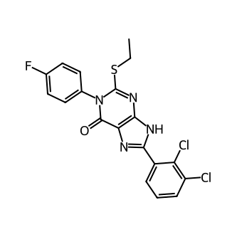 CCSc1nc2[nH]c(-c3cccc(Cl)c3Cl)nc2c(=O)n1-c1ccc(F)cc1